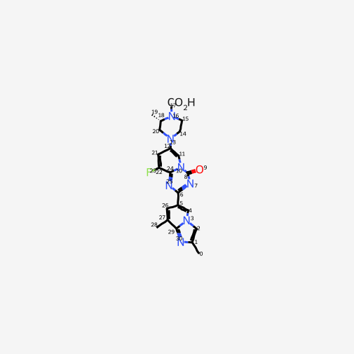 Cc1cn2cc(-c3nc(=O)n4cc(N5CCN(C(=O)O)[C@@H](C)C5)cc(F)c4n3)cc(C)c2n1